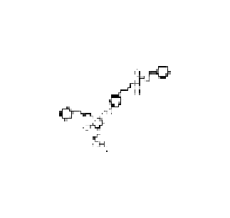 C=CC[C@@H]1C[C@@H](COc2ccc(CCCNC(=O)OCc3ccccc3)cc2)N(CCCc2ccccc2)C1=O